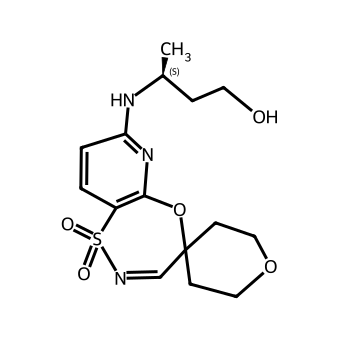 C[C@@H](CCO)Nc1ccc2c(n1)OC1(C=NS2(=O)=O)CCOCC1